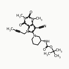 CC#CCn1c(N2CCC[C@H](NC(=O)OC(C)(C)C)C2)c(C#N)c2c1c(=O)n(C)c(=O)n2C